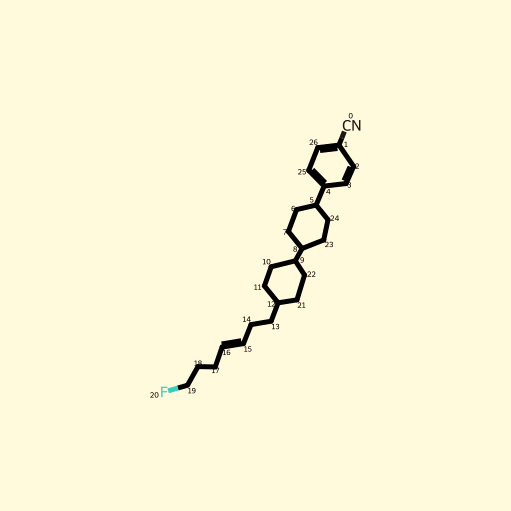 N#Cc1ccc(C2CCC(C3CCC(CCC=CCCCF)CC3)CC2)cc1